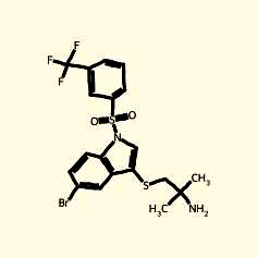 CC(C)(N)CSc1cn(S(=O)(=O)c2cccc(C(F)(F)F)c2)c2ccc(Br)cc12